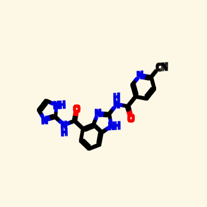 N#Cc1ccc(C(=O)Nc2nc3c(C(=O)Nc4ncc[nH]4)cccc3[nH]2)cn1